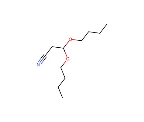 CCCCOC(CC#N)OCCCC